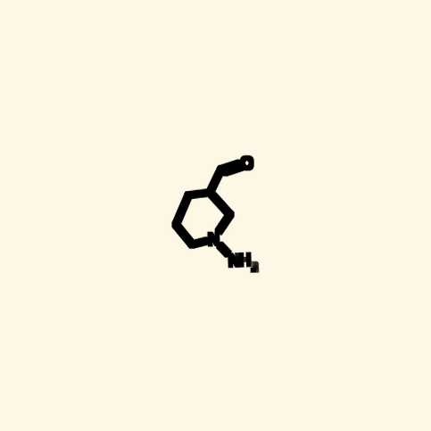 NN1CCCC(C=O)C1